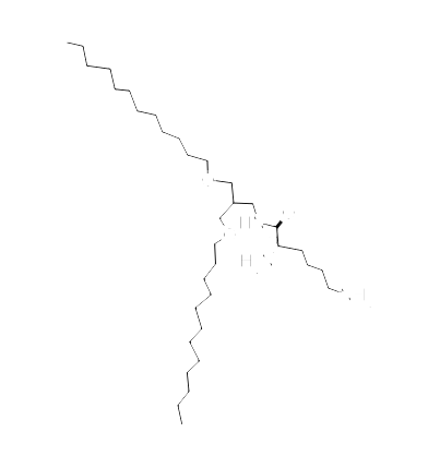 CCCCCCCCCCCCOCC(CNC(=O)[C@@H](N)CCCCN)COCCCCCCCCCCCC